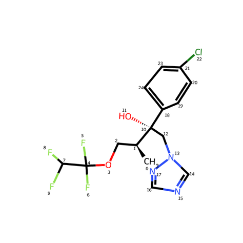 C[C@@H](COC(F)(F)C(F)F)[C@](O)(Cn1cncn1)c1ccc(Cl)cc1